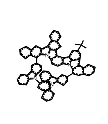 CC(C)(C)c1cc2c3c4c5cc6ccccc6c6c7cc8ccccc8c(-c8ccc9c(c8)c8ccccc8n9-c8ccccc8)c7n(c4ccc3n3c4c(-c7ccc8c(c7)c7ccccc7n8-c7ccccc7)cc7ccccc7c4c(c1)c23)c56